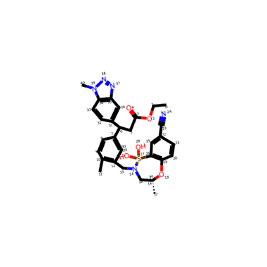 CCOC(=O)CC(c1ccc(C)c(CN2C[C@@H](C)Oc3ccc(C#N)cc3S2(O)O)c1)c1ccc2c(c1)nnn2C